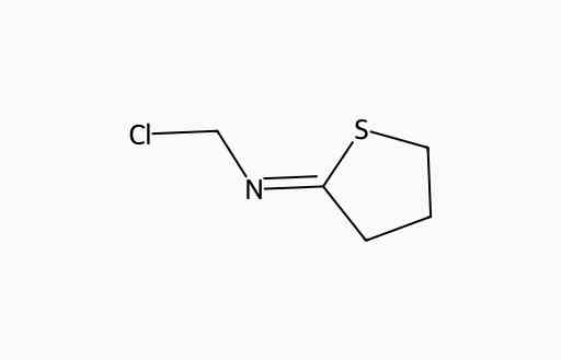 ClC/N=C1/CCCS1